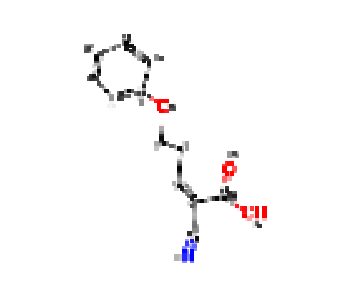 N#CC(=CCCOc1ccccc1)C(=O)O